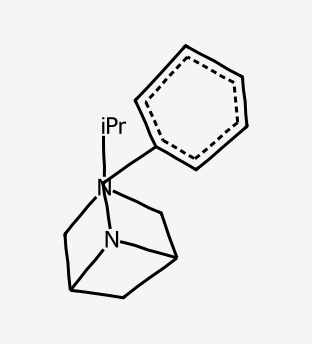 CC(C)N1CC2CC(C1)N2Cc1ccccc1